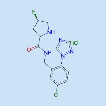 Cl.O=C(NCc1cc(Cl)ccc1-n1cncn1)C1C[C@@H](F)CN1